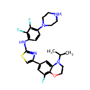 CC(C)N1CCOc2c(F)cc(-c3csc(Nc4ccc(N5CCNCC5)c(F)c4F)n3)cc21